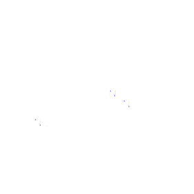 Cc1cc(C)n(C2CCC(C#N)CC2)n1